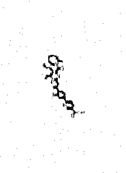 C=C(/C=C(/N=C/C(=O)N1CCCCCC1C)N(C)/C(=C\C)CCCC)c1ccc(-c2ccc(C(=O)O)cn2)cc1F